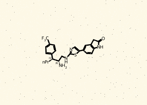 CCC[C@@H](c1ccc(C(F)(F)F)cc1)[C@@H](N)CNc1ncc(-c2ccc3c(c2)CC(=O)N3)s1